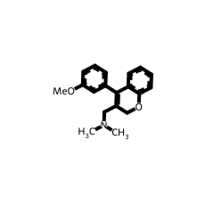 COc1cccc(C2=C(CN(C)C)COc3ccccc32)c1